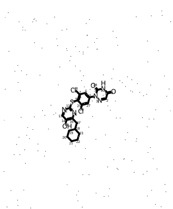 O=c1cnn(-c2cc(Cl)c(Sc3ncc(O)c(CC4CCCCC4)n3)c(Cl)c2)c(=O)[nH]1